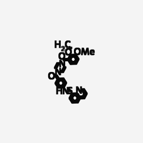 C=COc1c(OC)cccc1C(=O)N1CCN(C(=O)c2ccc(NSc3cccc4cccnc34)cc2)CC1